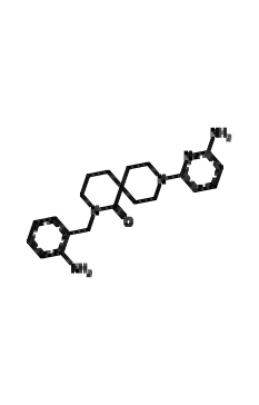 Nc1cccc(N2CCC3(CCCN(Cc4ccccc4N)C3=O)CC2)n1